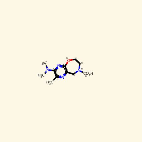 Cc1nc2c(nc1N(C)C(C)C)OCCN(C(=O)O)C2